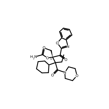 CCC(C(=O)N1CCOCC1)(C1CCCCC1)[C@](CC)(OC(N)=O)C(=O)c1nc2ccccc2o1